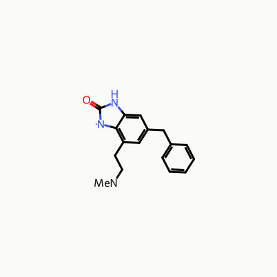 CNCCc1cc(Cc2ccccc2)cc2c1[N]C(=O)N2